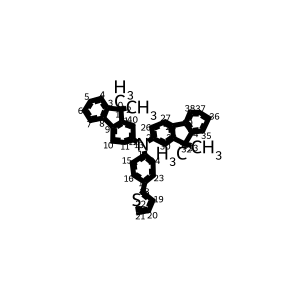 CC1(C)c2ccccc2-c2ccc(N(c3ccc(-c4cccs4)cc3)c3ccc4c(c3)C(C)(C)c3ccccc3-4)cc21